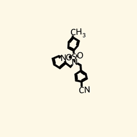 Cc1ccc(S(=O)(=O)N(Cc2ccc(C#N)cc2)Cc2ccccn2)cc1